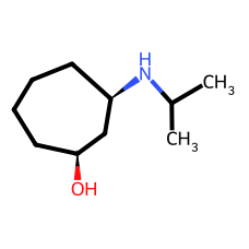 CC(C)N[C@@H]1CCCC[C@H](O)C1